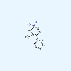 NC1(N)C=CC(c2ccccc2)=C(C(F)(F)F)C1